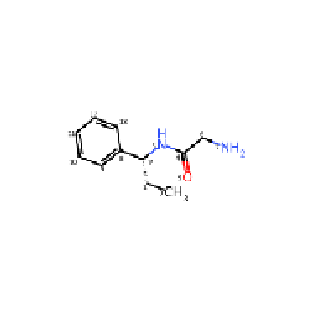 CC[C@@H](NC(=O)CN)c1ccccc1